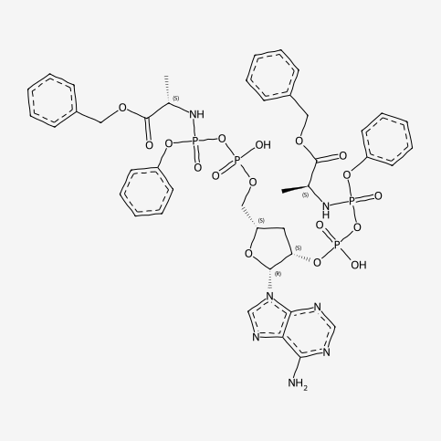 C[C@H](NP(=O)(Oc1ccccc1)OP(=O)(O)OC[C@@H]1C[C@H](OP(=O)(O)OP(=O)(N[C@@H](C)C(=O)OCc2ccccc2)Oc2ccccc2)[C@H](n2cnc3c(N)ncnc32)O1)C(=O)OCc1ccccc1